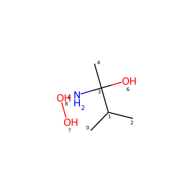 CC(C)C(C)(N)O.OO